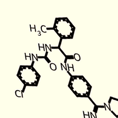 Cc1ccccc1C(NC(=O)Nc1ccc(Cl)cc1)C(=O)Nc1ccc(C(=N)N2CCCC2)cc1